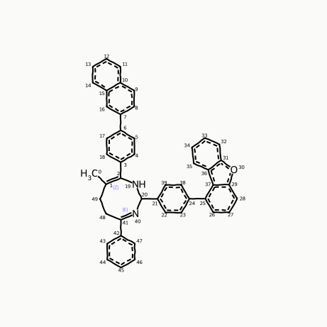 C/C1=C(\c2ccc(-c3ccc4ccccc4c3)cc2)NC(c2ccc(-c3cccc4oc5ccccc5c34)cc2)/N=C(/c2ccccc2)CC1